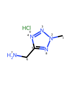 Cl.Cn1nnc(CN)n1